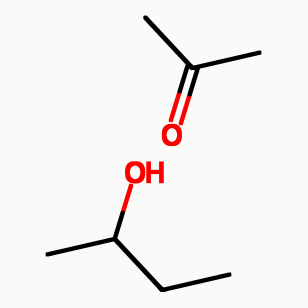 CC(C)=O.CCC(C)O